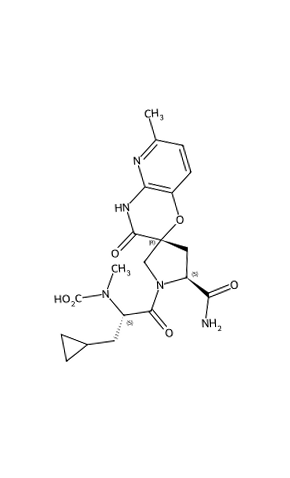 Cc1ccc2c(n1)NC(=O)[C@]1(C[C@@H](C(N)=O)N(C(=O)[C@H](CC3CC3)N(C)C(=O)O)C1)O2